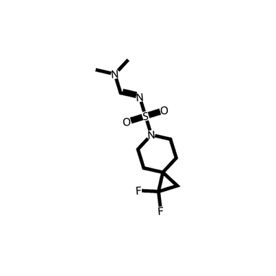 CN(C)/C=N/S(=O)(=O)N1CCC2(CC1)CC2(F)F